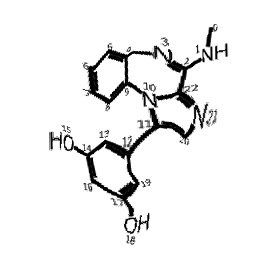 CNc1nc2ccccc2n2c(-c3cc(O)cc(O)c3)cnc12